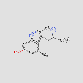 Cc1[nH]c2cc(O)cc([N+](=O)[O-])c2c1CC(N)C(=O)O